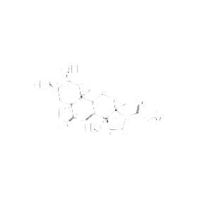 C[C@]12C[C@H](O)[C@H](O)C[C@@H]1C(=O)C=C1C2CC[C@]2(C)[C@@H](C(=O)CBr)CC[C@@]12O